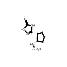 O=C(O)N[C@H]1CCC[C@H]1c1noc(=O)[nH]1